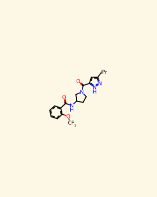 CC(C)c1cc(C(=O)N2CCC(NC(=O)c3ccccc3OC(F)(F)F)C2)[nH]n1